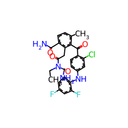 CCN(C(N)=O)C(=O)Cc1c(C(N)=O)ccc(C)c1C(=O)c1ccc(Nc2ccc(F)cc2F)cc1Cl